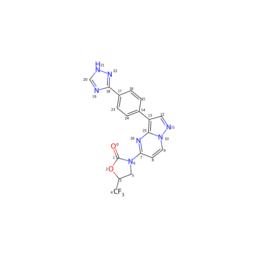 O=C1OC(C(F)(F)F)CN1c1ccn2ncc(-c3ccc(-c4nc[nH]n4)cc3)c2n1